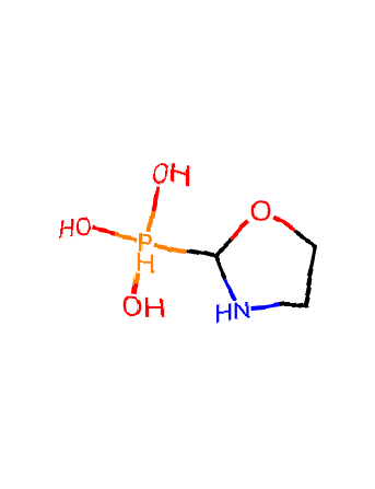 O[PH](O)(O)C1NCCO1